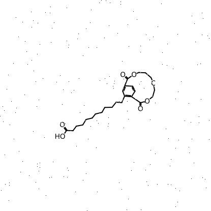 O=C(O)CCCCCCCCCCCc1cc2ccc1C(=O)OCCCCCCOC2=O